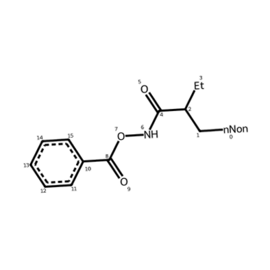 CCCCCCCCCCC(CC)C(=O)NOC(=O)c1ccccc1